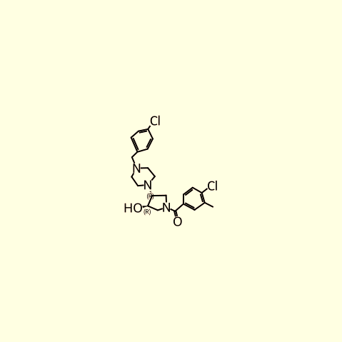 Cc1cc(C(=O)N2C[C@@H](O)[C@H](N3CCN(Cc4ccc(Cl)cc4)CC3)C2)ccc1Cl